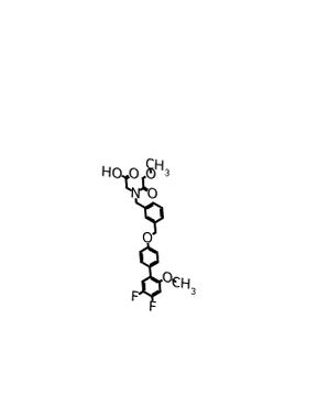 COCC(=O)N(CC(=O)O)Cc1cccc(COc2ccc(-c3cc(F)c(F)cc3OC)cc2)c1